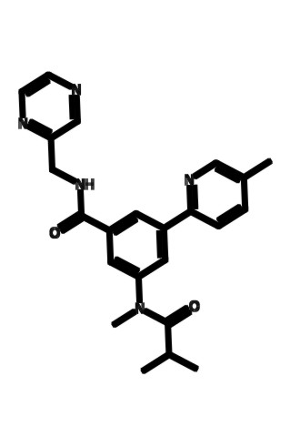 Cc1ccc(-c2cc(C(=O)NCc3cnccn3)cc(N(C)C(=O)C(C)C)c2)nc1